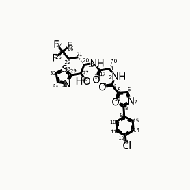 C[C@H](NC(=O)c1cnc(-c2ccc(Cl)cc2)o1)C(=O)N[C@@H](CCC(F)(F)F)C(O)c1nccs1